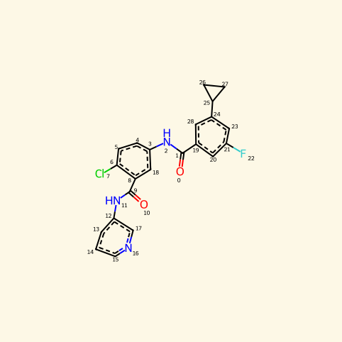 O=C(Nc1ccc(Cl)c(C(=O)Nc2cccnc2)c1)c1cc(F)cc(C2CC2)c1